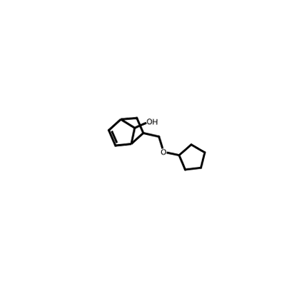 OC1C2C=CC1C(COC1CCCC1)C2